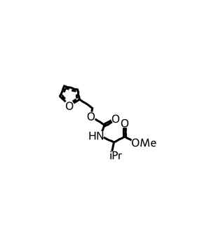 COC(=O)C(NC(=O)OCc1ccco1)C(C)C